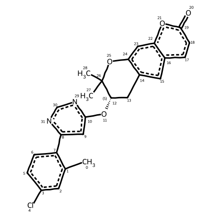 Cc1cc(Cl)ccc1-c1cc(O[C@H]2Cc3cc4ccc(=O)oc4cc3OC2(C)C)ncn1